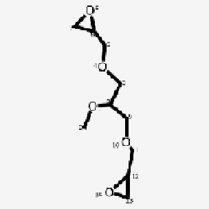 COC(COCC1CO1)COCC1CO1